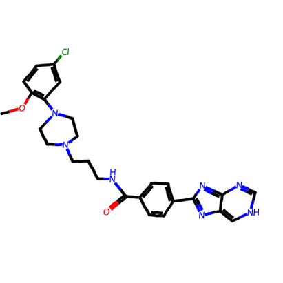 COc1ccc(Cl)cc1N1CCN(CCCNC(=O)c2ccc(-c3nc4c[nH]cnc-4n3)cc2)CC1